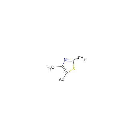 [CH2]C(=O)c1sc(C)nc1C